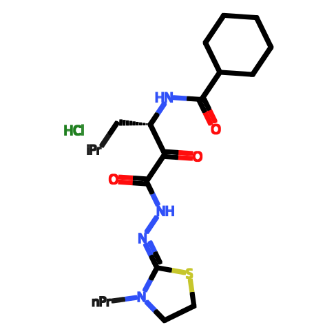 CCCN1CCS/C1=N\NC(=O)C(=O)[C@H](CC(C)C)NC(=O)C1CCCCC1.Cl